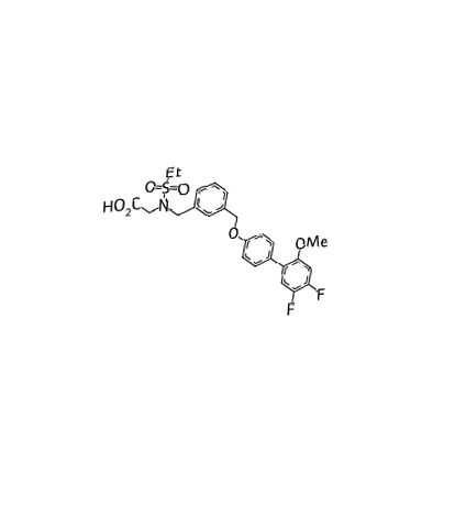 CCS(=O)(=O)N(CC(=O)O)Cc1cccc(COc2ccc(-c3cc(F)c(F)cc3OC)cc2)c1